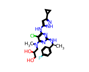 C[C@H](Nc1nc(Nc2cc(C3CC3)n[nH]2)c(Cl)c(N(C)CC(O)CO)n1)c1ccc(F)cc1